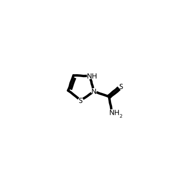 NC(=S)N1NC=CS1